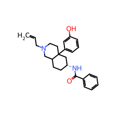 C=CCN1CCC2(c3cccc(O)c3)C[C@H](NC(=O)c3ccccc3)CCC2C1